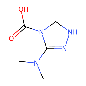 CN(C)C1=NNCN1C(=O)O